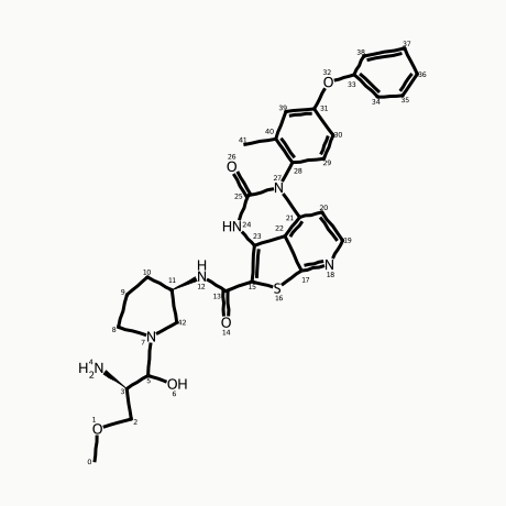 COC[C@@H](N)C(O)N1CCC[C@@H](NC(=O)c2sc3nccc4c3c2NC(=O)N4c2ccc(Oc3ccccc3)cc2C)C1